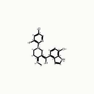 CC/C(=C1/CN(c2ncc(Cl)cc2F)CC/C1=N/C)c1ccc(Cl)c2[nH]ccc12